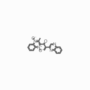 C=C(C(=O)c1c(C)[n+]([O-])c2ccccc2[n+]1[O-])c1cnc2ccccc2n1